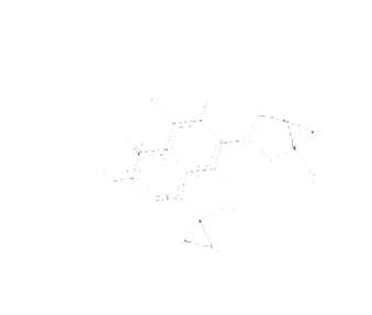 Nc1c(F)c(N2CC3CC3(N)C2)c(F)c2c1c(=O)c(C(=O)O)cn2C1(F)CC1